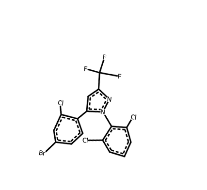 FC(F)(F)c1cc(-c2ccc(Br)cc2Cl)n(-c2c(Cl)cccc2Cl)n1